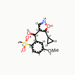 COc1ccc(S(C)(=O)=O)c(C(=O)c2cnoc2C2CC2)c1